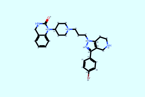 O=C1NCc2ccccc2N1C1CCN(CCCn2nc(-c3ccc(Br)cc3)c3c2CCNC3)CC1